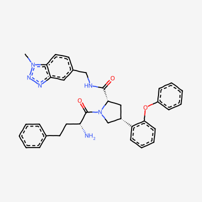 Cn1nnc2cc(CNC(=O)[C@@H]3C[C@H](c4ccccc4Oc4ccccc4)CN3C(=O)[C@H](N)CCc3ccccc3)ccc21